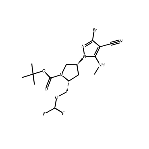 CNc1c(C#N)c(Br)nn1[C@H]1C[C@H](COC(F)F)N(C(=O)OC(C)(C)C)C1